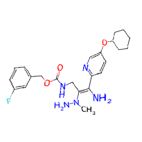 CN(N)/C(CNC(=O)OCc1cccc(F)c1)=C(\N)c1ccc(OC2CCCCC2)cn1